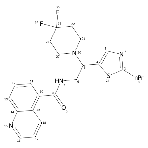 CCCc1ncc(C(CNC(=O)c2cccc3ncccc23)N2CCC(F)(F)CC2)s1